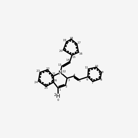 [2H]C1=CC(C=Cc2ccccc2)N(C=Cc2ccccc2)c2ccccc21